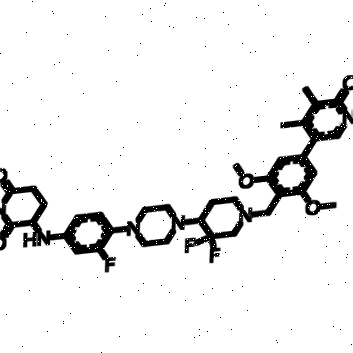 COc1cc(-c2cn(C)c(=O)c(C)c2C)cc(OC)c1CN1CCC(N2CCN(c3ccc(NC4CCC(=O)NC4=O)cc3F)CC2)C(F)(F)C1